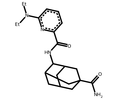 CCN(CC)c1cccc(C(=O)NC2C3CC4CC2CC(C(N)=O)(C4)C3)n1